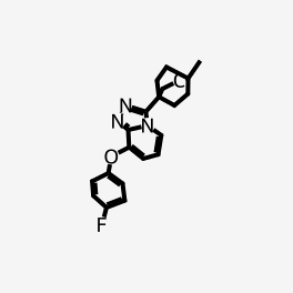 CC12CCC(c3nnc4c(Oc5ccc(F)cc5)cccn34)(CC1)CC2